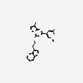 C=N/C=C(\C=C(/C)F)c1nc(NCCc2c[nH]c3cccnc23)n2ncc(C)c2n1